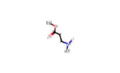 CCOC(=O)CCN(I)CC